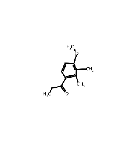 CCC(=O)c1ccc(OC)c(C)c1C